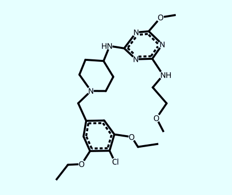 CCOc1cc(CN2CCC(Nc3nc(NCCOC)nc(OC)n3)CC2)cc(OCC)c1Cl